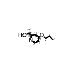 CCCOc1ccnc([C@@H](C)O)c1